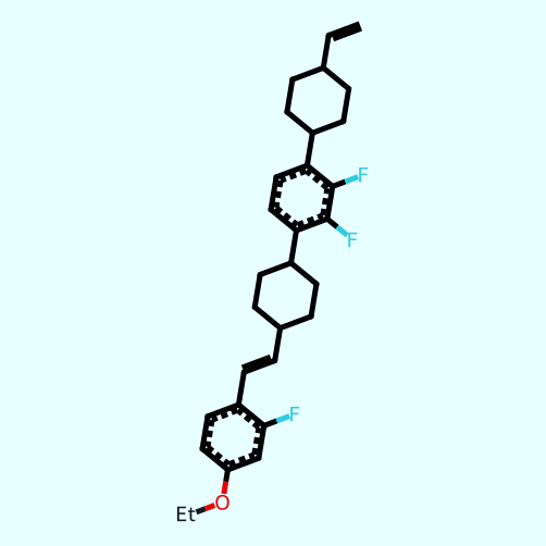 C=CC1CCC(c2ccc(C3CCC(/C=C/c4ccc(OCC)cc4F)CC3)c(F)c2F)CC1